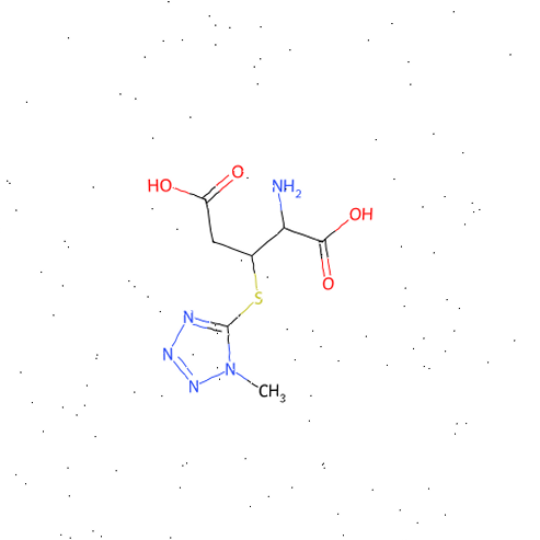 Cn1nnnc1SC(CC(=O)O)C(N)C(=O)O